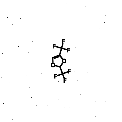 FC(F)(F)C1=COC(C(F)(F)F)O1